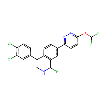 FC(F)Oc1ccc(-c2ccc3c(c2)C(F)NCC3c2ccc(Cl)c(Cl)c2)nn1